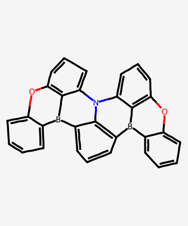 c1ccc2c(c1)Oc1cccc3c1B2c1cccc2c1N3c1cccc3c1B2c1ccccc1O3